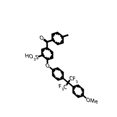 COc1ccc(C(c2ccc(Oc3ccc(C(=O)c4ccc(C)cc4)cc3S(=O)(=O)O)cc2)(C(F)(F)F)C(F)(F)F)cc1